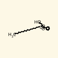 CCCCCCCCCCCCCCCCCCOC(CCO)OC(=O)c1ccccc1